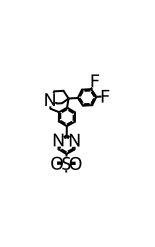 CS(=O)(=O)c1cnc(-c2ccc3c(c2)CN2CCC3(c3ccc(F)c(F)c3)CC2)nc1